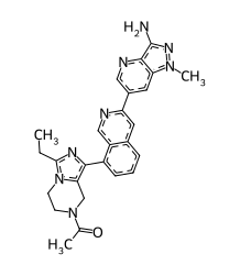 CCc1nc(-c2cccc3cc(-c4cnc5c(N)nn(C)c5c4)ncc23)c2n1CCN(C(C)=O)C2